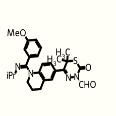 COc1cccc(/C(=N/C(C)C)N2CCCc3cc(C4=NN(C=O)C(=O)SC4(C)C)ccc32)c1